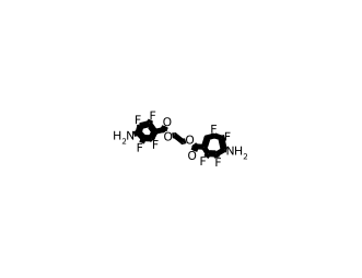 NC1=C(F)C(F)C=C(C(=O)OCCOC(=O)c2c(F)c(F)c(N)c(F)c2F)C(F)=C1F